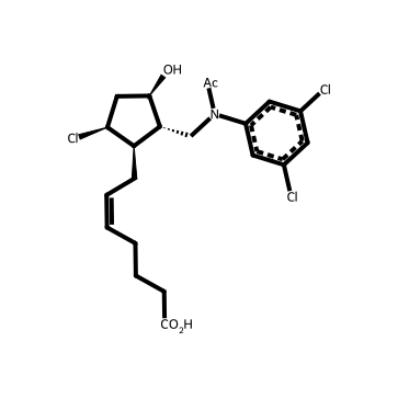 CC(=O)N(C[C@@H]1[C@@H](C/C=C\CCCC(=O)O)[C@@H](Cl)C[C@H]1O)c1cc(Cl)cc(Cl)c1